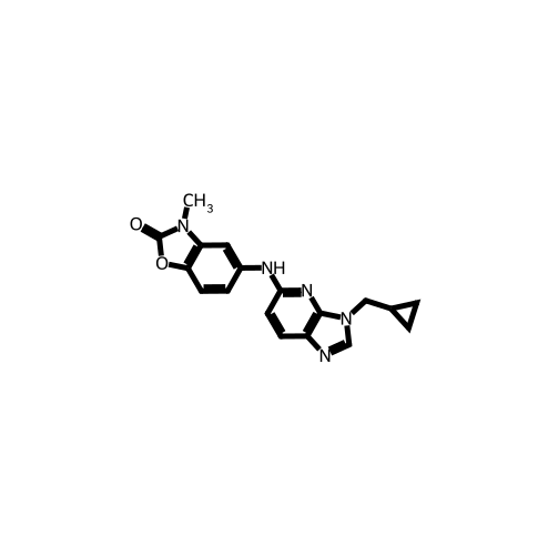 Cn1c(=O)oc2ccc(Nc3ccc4ncn(CC5CC5)c4n3)cc21